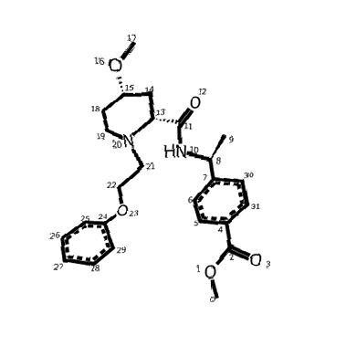 COC(=O)c1ccc([C@H](C)NC(=O)[C@H]2C[C@@H](OC)CCN2CCOc2ccccc2)cc1